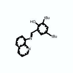 CC(C)(C)c1cc(C=Nc2cccc3cccnc23)c(O)c(C(C)(C)C)c1